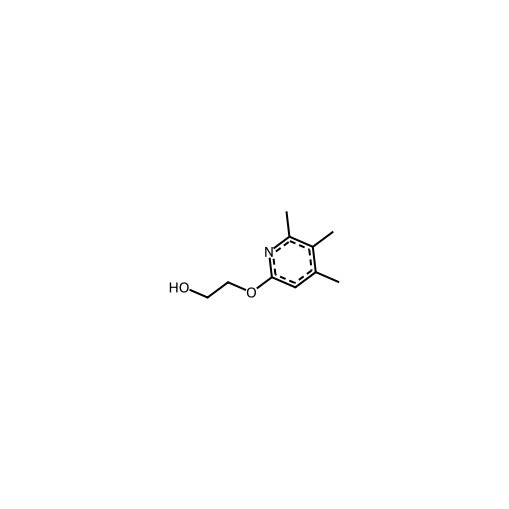 Cc1cc(OCCO)nc(C)c1C